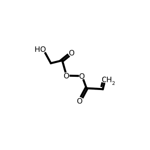 C=CC(=O)OOC(=O)CO